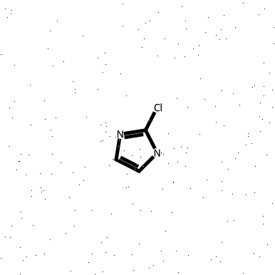 ClC1=N[C]=C[N]1